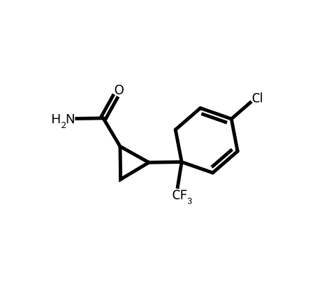 NC(=O)C1CC1C1(C(F)(F)F)C=CC(Cl)=CC1